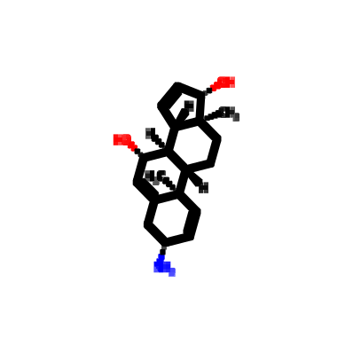 C[C@]12CC[C@H]3[C@@H]([C@@H](O)C=C4C[C@@H](N)C=C[C@@]43C)[C@@H]1C=C[C@@H]2O